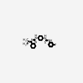 CN(C)c1nc(N[C@H]2CC[C@@H](NC(=S)Nc3cccc(F)c3)CC2)nc2c1CCCC2